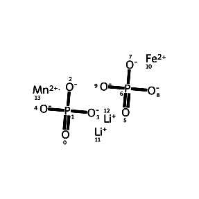 O=P([O-])([O-])[O-].O=P([O-])([O-])[O-].[Fe+2].[Li+].[Li+].[Mn+2]